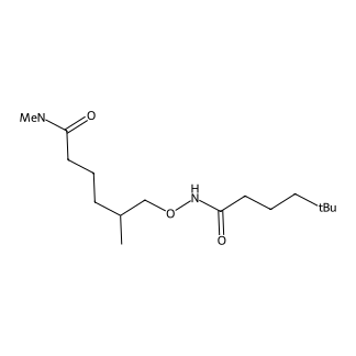 CNC(=O)CCCC(C)CONC(=O)CCCC(C)(C)C